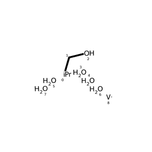 CC(C)CO.O.O.O.O.O.[V]